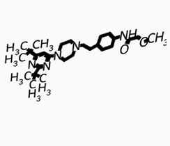 COCC(=O)NC1CCC(CCN2CCN(c3cc(C(C)(C)C)nc(C(C)(C)C)n3)CC2)CC1